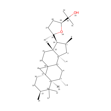 C[C@H]1C[C@@]2(C)C3C[C@H](C)[C@H]4C(C)(C)[C@@H](C)CC[C@@]45CC35CC[C@]2(C)[C@H]1[C@@]1(C)CC[C@@H](C(C)(C)O)O1